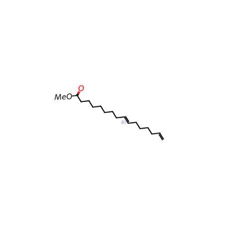 C=CCCCC/C=C/CCCCCCCC(=O)OC